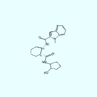 Cn1c(C(=O)N[C@H]2CCCC[C@H]2C(=O)NC2CCCC2O)cc2ccccc21